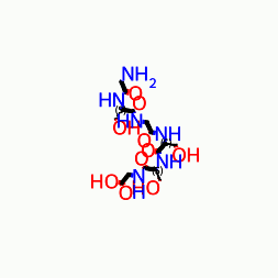 NCC(=O)N[C@@H](CO)C(=O)NCC(=O)N[C@@H](CO)C(=O)N[C@@H](CO)C(=O)NCC(=O)O